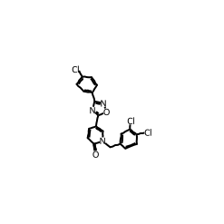 O=c1ccc(-c2nc(-c3ccc(Cl)cc3)no2)cn1Cc1ccc(Cl)c(Cl)c1